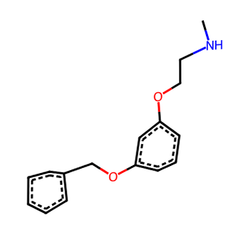 CNCCOc1cccc(OCc2ccccc2)c1